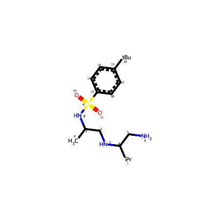 CC(CNC(CN)C(C)C)NS(=O)(=O)c1ccc(C(C)(C)C)cc1